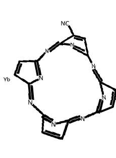 N#CC1=CC2=NC/1=N\C1=NC(=N\C3=NC(=N\C4=NC(=N\2)/C=C4)/C=C3)/C=C1.[Yb]